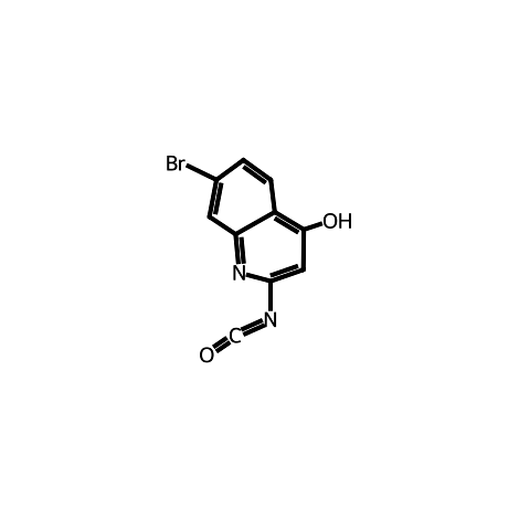 O=C=Nc1cc(O)c2ccc(Br)cc2n1